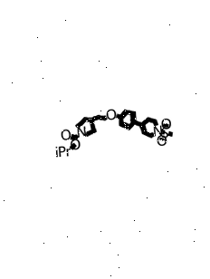 CC(C)OC(=O)N1CCC(CCOc2ccc(C3=CCN(S(C)(=O)=O)CC3)cc2)CC1